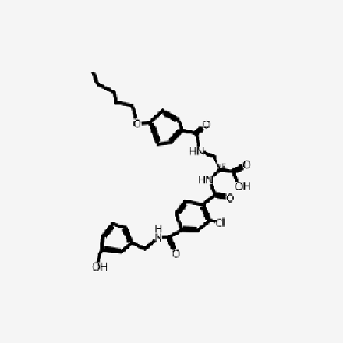 CCCCCOc1ccc(C(=O)NC[C@H](NC(=O)c2ccc(C(=O)NCc3cccc(O)c3)cc2Cl)C(=O)O)cc1